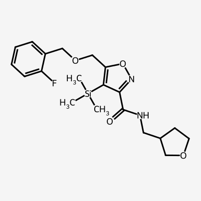 C[Si](C)(C)c1c(C(=O)NCC2CCOC2)noc1COCc1ccccc1F